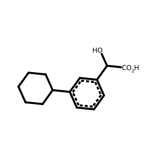 O=C(O)C(O)c1cccc(C2CCCCC2)c1